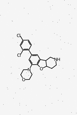 Clc1ccc(-c2cc3c(c(N4CCOCC4)c2)OC2CCNCC32)c(Cl)c1